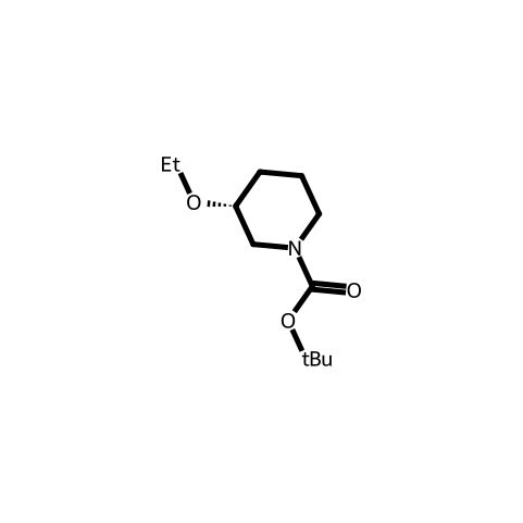 CCO[C@@H]1CCCN(C(=O)OC(C)(C)C)C1